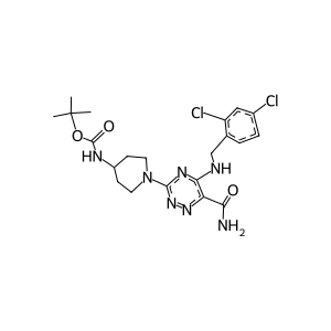 CC(C)(C)OC(=O)NC1CCN(c2nnc(C(N)=O)c(NCc3ccc(Cl)cc3Cl)n2)CC1